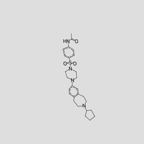 CC(=O)Nc1ccc(S(=O)(=O)N2CCN(c3ccc4c(c3)CCN(C3CCCC3)CC4)CC2)cc1